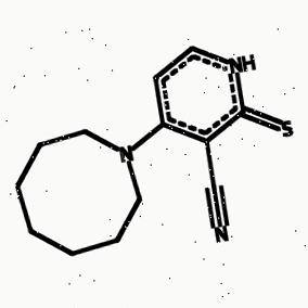 N#Cc1c(N2CCCCCCC2)cc[nH]c1=S